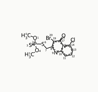 COP(=S)(OC)SCc1nc2cccc(Cl)n2c(=O)c1Br